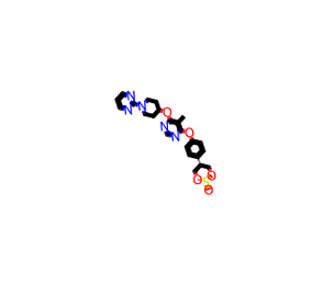 Cc1c(Oc2ccc([C@H]3CO[S@@](=O)OC3)cc2)ncnc1OC1CCN(c2ncccn2)CC1